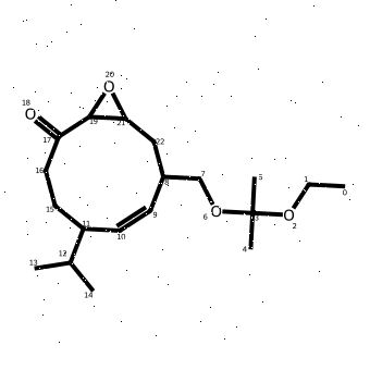 CCOC(C)(C)OCC1C=CC(C(C)C)CCC(=O)C2OC2C1